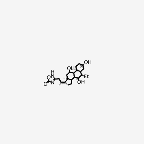 CC[C@@H]1C2C[C@H](O)CC[C@]2(C)C2C(O)C[C@@]3(C)C(CC[C@@H]3[C@H](C)Cc3nc(=O)o[nH]3)C2[C@@H]1O